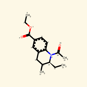 CCOC(=O)c1ccc2c(c1)CC(C)[C@H](CC)N2C(C)=O